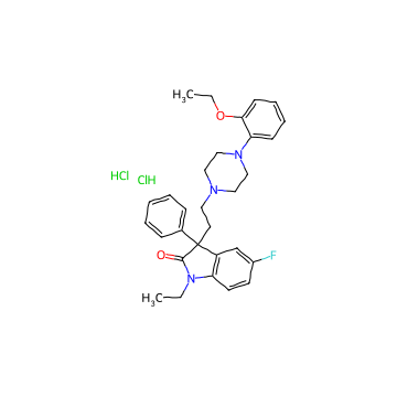 CCOc1ccccc1N1CCN(CCC2(c3ccccc3)C(=O)N(CC)c3ccc(F)cc32)CC1.Cl.Cl